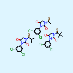 CC(=S)N1CC(=O)N(c2cc(Cl)cc(Cl)c2)C1=O.CC(C)(C)C(=S)N1CC(=O)N(c2cc(Cl)cc(Cl)c2)C1=O.CC(C)C(=S)N1CC(=O)N(c2cc(Cl)cc(Cl)c2)C1=O